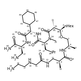 CCCCCC[C@@H](OC[C@@H](C)NC(=O)[C@@H](C)CNC(=O)CNCCN)[C@@H](C)C(=O)N(C)[C@@H](CC(C)C)C(=O)N[C@H](C(=O)N[C@@H](CN)C(N)=O)C1CCCCC1